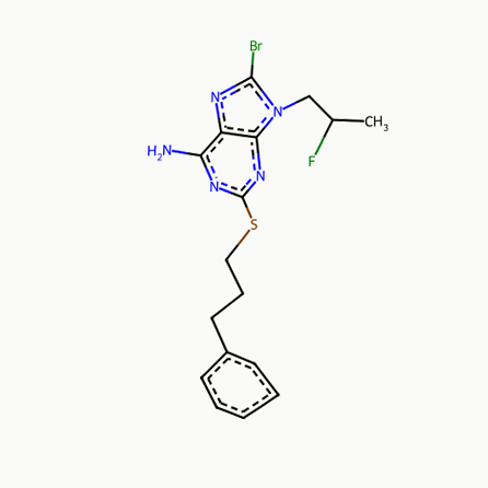 CC(F)Cn1c(Br)nc2c(N)nc(SCCCc3ccccc3)nc21